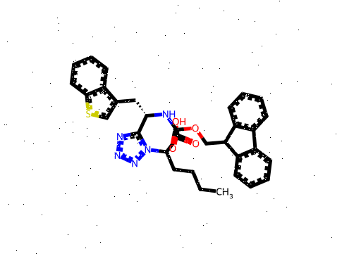 CCCCC(C(=O)O)n1nnnc1[C@H](Cc1csc2ccccc12)NC(=O)OCC1c2ccccc2-c2ccccc21